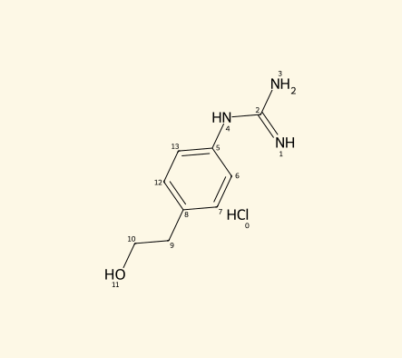 Cl.N=C(N)Nc1ccc(CCO)cc1